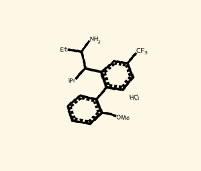 CCC(N)C(c1cc(C(F)(F)F)ccc1-c1ccccc1OC)C(C)C.Cl